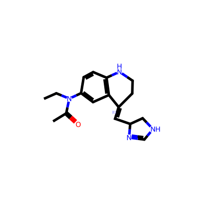 CCN(C(C)=O)c1ccc2c(c1)/C(=C/C1CNC=N1)CCN2